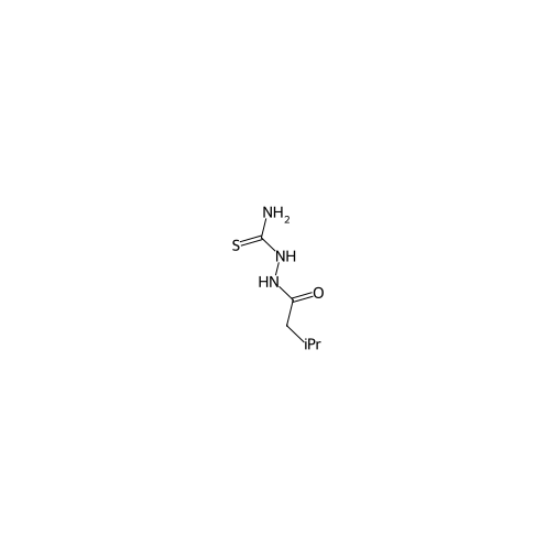 CC(C)CC(=O)NNC(N)=S